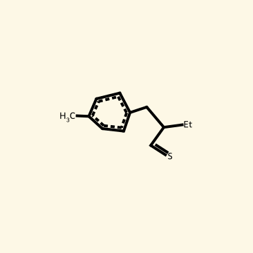 CCC(C=S)Cc1ccc(C)cc1